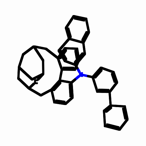 c1ccc(-c2cccc(N(c3ccc4ccccc4c3)c3cccc4c3-c3ccccc3CC3CC5CC(C4)CC(C3)C5)c2)cc1